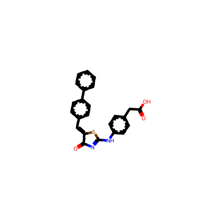 O=C(O)Cc1ccc(NC2=NC(=O)C(=Cc3ccc(-c4ccccc4)cc3)S2)cc1